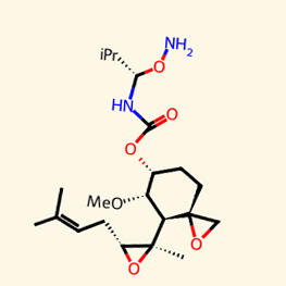 CO[C@@H]1[C@H](OC(=O)N[C@@H](ON)C(C)C)CC[C@]2(CO2)[C@H]1[C@@]1(C)O[C@@H]1CC=C(C)C